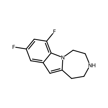 Fc1cc(F)c2c(c1)cc1n2CCNCC1